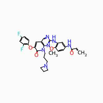 C=CC(=O)Nc1ccc(OC)c(Nc2ncc3cc(Oc4ccc(F)cc4F)c(=O)n(CCCN4CCC4)c3n2)c1